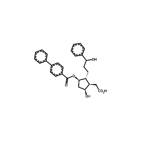 O=C(O)C[C@@H]1[C@@H](CCC(O)c2ccccc2)[C@H](OC(=O)c2ccc(-c3ccccc3)cc2)C[C@@H]1O